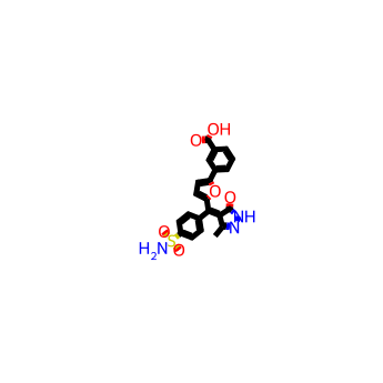 CC1=NNC(=O)C1=C(c1ccc(S(N)(=O)=O)cc1)c1ccc(-c2cccc(C(=O)O)c2)o1